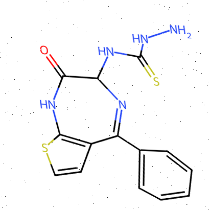 NNC(=S)NC1N=C(c2ccccc2)c2ccsc2NC1=O